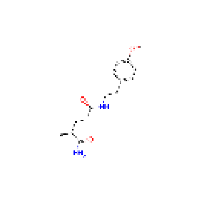 COc1ccc(CCNC(=O)[CH]C[C@H](C)C(N)=O)cc1